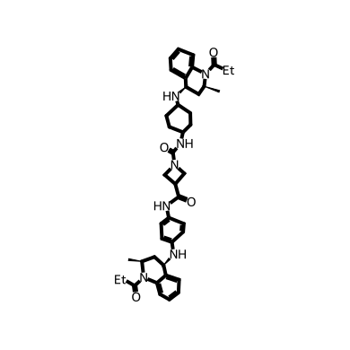 CCC(=O)N1c2ccccc2[C@H](Nc2ccc(NC(=O)C3CN(C(=O)NC4CCC(N[C@@H]5C[C@H](C)N(C(=O)CC)c6ccccc65)CC4)C3)cc2)C[C@@H]1C